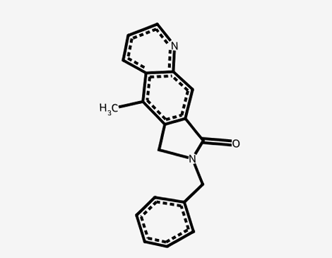 Cc1c2c(cc3ncccc13)C(=O)N(Cc1ccccc1)C2